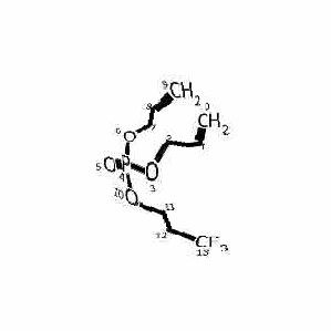 C=CCOP(=O)(OCC=C)OCCC(F)(F)F